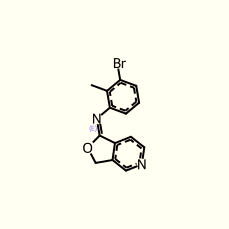 Cc1c(Br)cccc1/N=C1/OCc2cnccc21